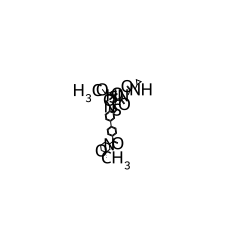 COCCS(=O)(=O)C(C(=O)NCC(=O)NC1CC1)c1nc2ccc(-c3ccc(C(=O)N4CCO[C@@H](C)C4)cc3)cc2s1